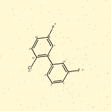 Fc1cccc(-c2cc(F)ccc2Cl)c1